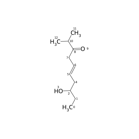 CCC(O)C/C=C/CC(=O)C(C)C